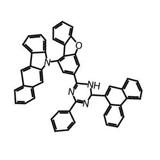 c1ccc(C2=NC(c3cc4ccccc4c4ccccc34)NC(c3cc(-n4c5ccccc5c5cc6ccccc6cc54)c4c(c3)oc3ccccc34)=N2)cc1